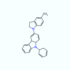 Cc1ccc2c(c1)CCN2C1=CC2c3ccccc3N(C3C=CC=CC3)C2C=C1